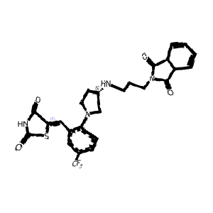 O=C1NC(=O)/C(=C/c2cc(C(F)(F)F)ccc2N2CC[C@H](NCCCN3C(=O)C4C=CC=CC4C3=O)C2)S1